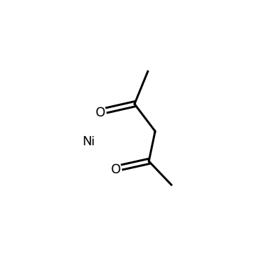 CC(=O)CC(C)=O.[Ni]